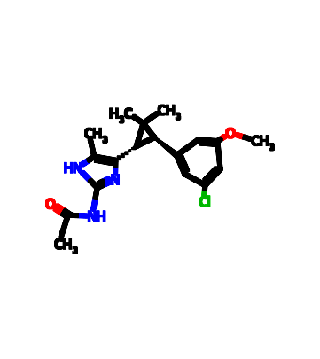 COc1cc(Cl)cc([C@H]2[C@H](c3nc(NC(C)=O)[nH]c3C)C2(C)C)c1